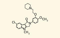 COc1ccc(N2Cc3c(c4cc(Cl)ccc4n3C)C2=O)cc1OCCN1CCCCC1